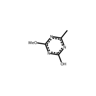 COc1nc(C)nc(O)n1